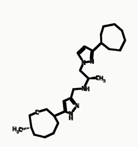 C[C@H]1CCCCC(c2cc(CN[C@H](C)Cn3ccc(C4CCCCCCC4)n3)n[nH]2)CCC1